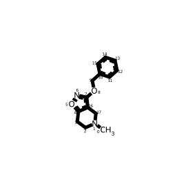 CN1CCc2onc(OCc3ccccc3)c2C1